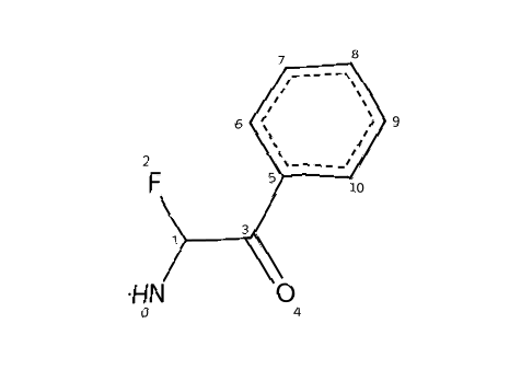 [NH]C(F)C(=O)c1ccccc1